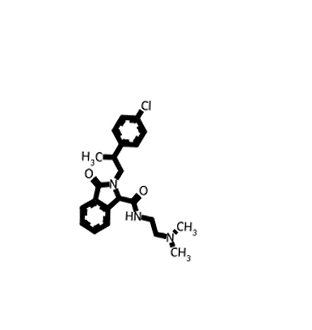 CC(CN1C(=O)c2ccccc2C1C(=O)NCCN(C)C)c1ccc(Cl)cc1